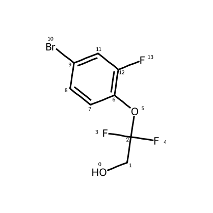 OCC(F)(F)Oc1ccc(Br)cc1F